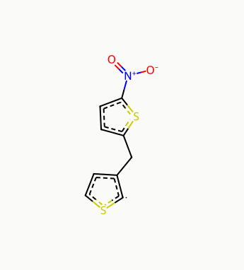 O=[N+]([O-])c1ccc(Cc2[c]scc2)s1